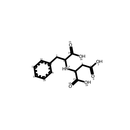 O=C(O)CC(NC(Cc1ccccc1)C(=O)O)C(=O)O